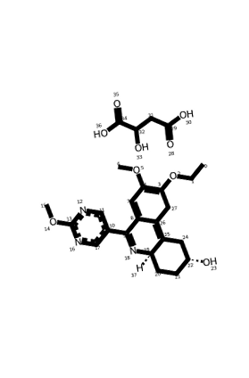 CCOC1=C(OC)C=C2C(c3cnc(OC)nc3)=N[C@@H]3CC[C@@H](O)CC3=C2C1.O=C(O)CC(O)C(=O)O